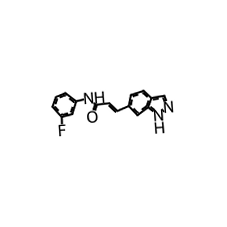 O=C(C=Cc1ccc2cn[nH]c2c1)Nc1cccc(F)c1